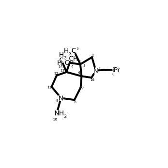 CC(C)N1CC(C)(C)C2(CCN(N)CCC2(C)C)C1